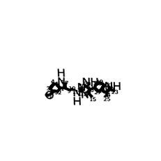 COc1ccc2[nH]cc(CCNc3nc(C)c(-c4ccc5[nH]c(C)c(C)c5c4)c(N)n3)c2c1